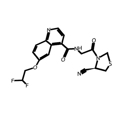 N#C[C@@H]1CSCN1C(=O)CNC(=O)c1ccnc2ccc(OCC(F)F)cc12